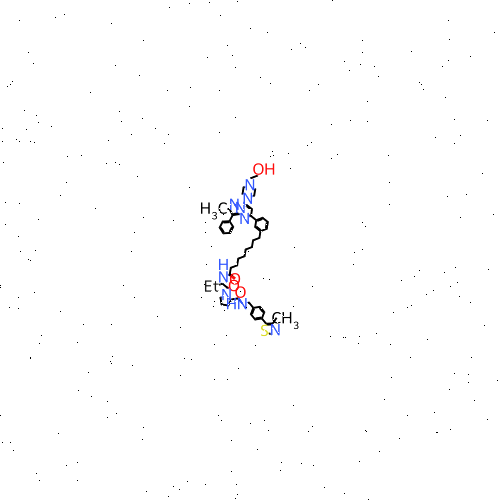 CCC(NC(=O)CCCCCCCCc1cccc(-c2cc(N3CCN(CCO)CC3)n3nc(C)c(-c4ccccc4)c3n2)c1)C(=O)N1CCCC1C(=O)NCc1ccc(-c2scnc2C)cc1